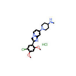 CNC1CCN(c2ccn3cc(-c4cc(Cl)c(OC)cc4OC)nc3c2)CC1.Cl